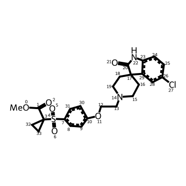 COC(=O)C1(S(=O)(=O)c2ccc(OCCN3CCC4(CC3)C(=O)Nc3ccc(Cl)cc34)cc2)CC1